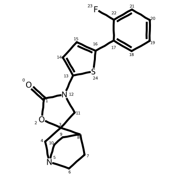 O=C1OC2(CN3CCC2CC3)CN1c1ccc(-c2ccccc2F)s1